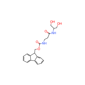 O=C(CCNC(=O)OCC1c2ccccc2-c2ccccc21)NC(CO)CO